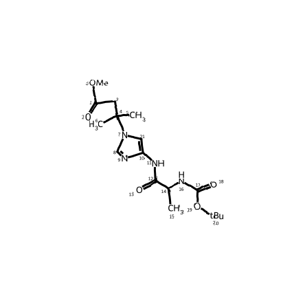 COC(=O)CC(C)(C)n1cnc(NC(=O)C(C)NC(=O)OC(C)(C)C)c1